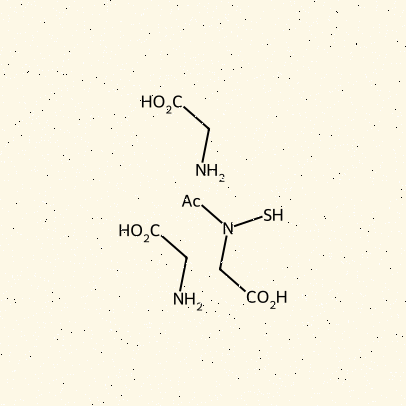 CC(=O)N(S)CC(=O)O.NCC(=O)O.NCC(=O)O